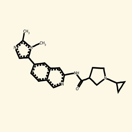 Cc1ncc(-c2ccc3cnc(NC(=O)C4CCN(C5CC5)C4)cc3c2)n1C